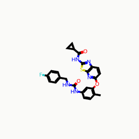 Cc1ccc(NC(=O)NCc2ccc(F)cc2)cc1Oc1ccc2nc(NC(=O)C3CC3)sc2n1